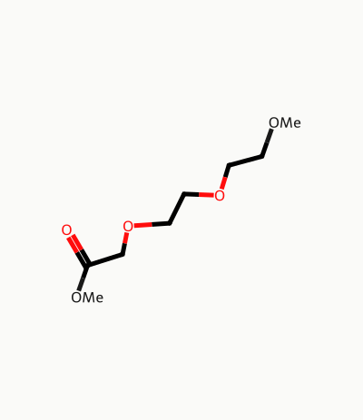 COCCOCCOCC(=O)OC